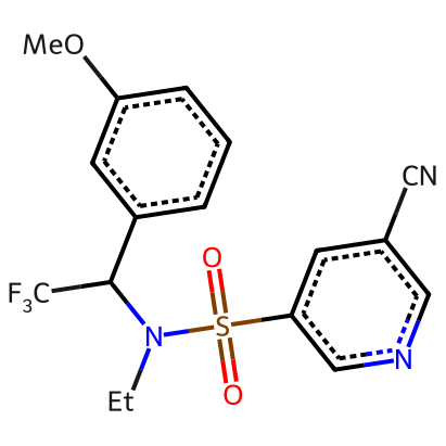 CCN(C(c1cccc(OC)c1)C(F)(F)F)S(=O)(=O)c1cncc(C#N)c1